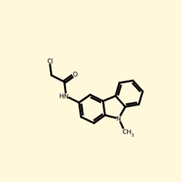 Cn1c2ccccc2c2cc(NC(=O)CCl)ccc21